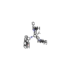 COc1cc(/C=C/c2cc(OC/C(N)=C/N(N)Cc3ccccc3)c(CC=C(C)C)c(OC/C(=C/NCc3ccccc3)N=N)c2)cc2c1O[C@]1(C)CC[C@@H](O)C(C)(C)[C@H]1C2